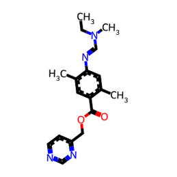 CCN(C)/C=N/c1cc(C)c(C(=O)OCc2ccncn2)cc1C